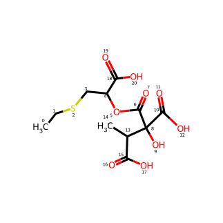 CCSCC(OC(=O)C(O)(C(=O)O)C(C)C(=O)O)C(=O)O